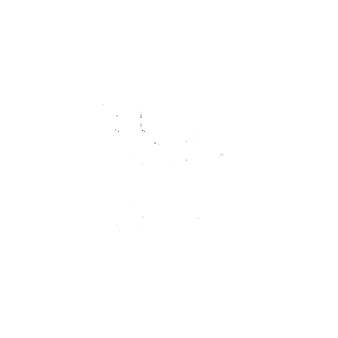 CC1=C(C(=O)OCc2ccccc2OCCS(=O)(=O)O)[C@@H](c2ccc(Cl)nc2)CC(=O)N1C[C@@H]1CCCO1